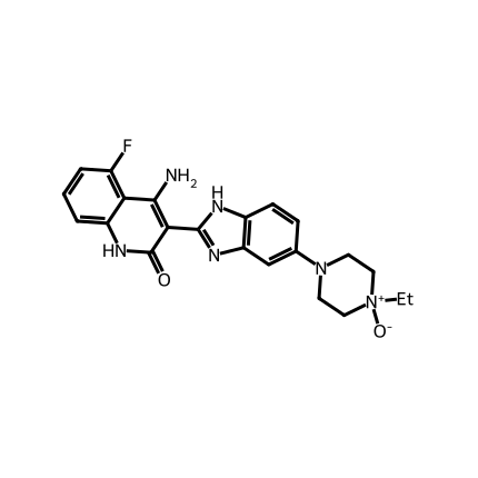 CC[N+]1([O-])CCN(c2ccc3[nH]c(-c4c(N)c5c(F)cccc5[nH]c4=O)nc3c2)CC1